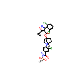 CCCS(=O)(=O)NC(=O)c1ccc(N2CCC3(OC(=O)c4c(-c5c(Cl)cccc5Cl)noc4C4CC4)CC[C@H]2C3)c(F)c1